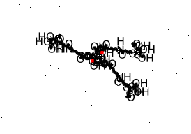 CC(=O)C[C@H]1[C@H](OCCCC(=O)NCCCCCC(=O)N2CCC(CO[C@H](O)OCC3(CO[C@@H](O)OCC4(CO)CCN(C(=O)CCCCCNC(=O)CCCO[C@H]5O[C@@H](CO)[C@@H](O)[C@H](O)[C@H]5CC(C)=O)CC4)CCN(C(=O)CCCCCNC(=O)CCCO[C@H](O[C@@H](CO)[C@@H](C)O)[C@@H](O)CC(C)=O)CC3)(CO[C@H](C)O)CC2)O[C@@H](CO)[C@@H](O)[C@@H]1O